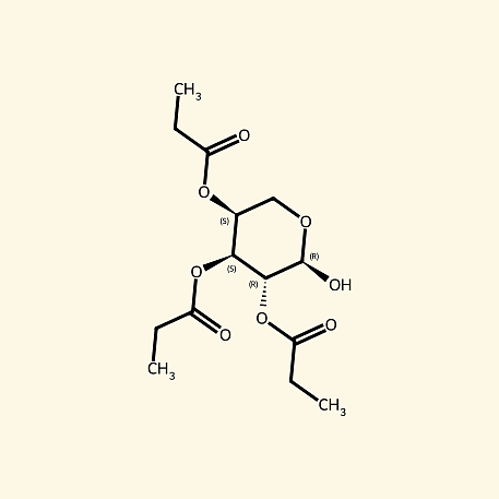 CCC(=O)O[C@@H]1[C@@H](OC(=O)CC)[C@@H](OC(=O)CC)CO[C@H]1O